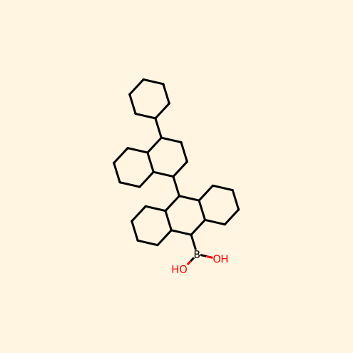 OB(O)C1C2CCCCC2C(C2CCC(C3CCCCC3)C3CCCCC32)C2CCCCC21